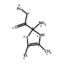 CCC1=C(C)NC(N)(C(=O)CC(C)=O)S1